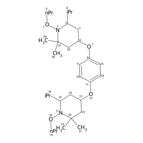 CCCON1C(C(C)C)CC(Oc2ccc(OC3CC(C(C)C)N(OCCC)C(C)(C)C3)cc2)CC1(C)C